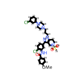 COc1ccc(C(=O)Nc2cc(-c3nn(CCCN4CCN(c5cccc(Cl)c5)CC4)c4c3CN(S(C)(=O)=O)CC4)ccc2Cl)cc1